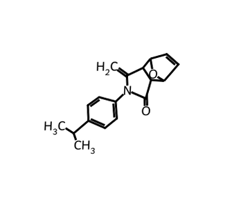 C=C1C2C3C=CC(O3)C2C(=O)N1c1ccc(C(C)C)cc1